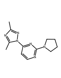 Cc1nc(C)n(-c2ccnc(N3CCCC3)n2)n1